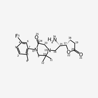 Cc1ccc(F)cc1N1CC(C)(C)N(C[C@H](N)[C@@H]2CCC(=O)O2)CC1=O